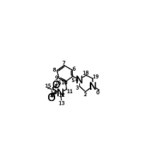 CN1CCN(c2ccccc2CN(C)S(C)(=O)=O)CC1